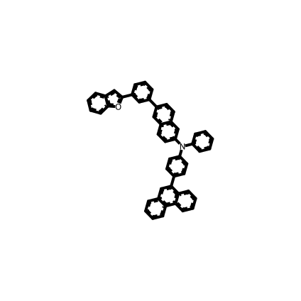 c1ccc(N(c2ccc(-c3cc4ccccc4c4ccccc34)cc2)c2ccc3cc(-c4cccc(-c5cc6ccccc6o5)c4)ccc3c2)cc1